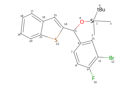 CC(C)(C)[Si](C)(C)OC(c1ccc(F)c(Br)c1)c1cc2ccccc2s1